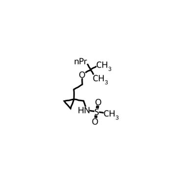 CCCC(C)(C)OCCC1(CNS(C)(=O)=O)CC1